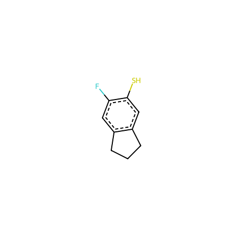 Fc1cc2c(cc1S)CCC2